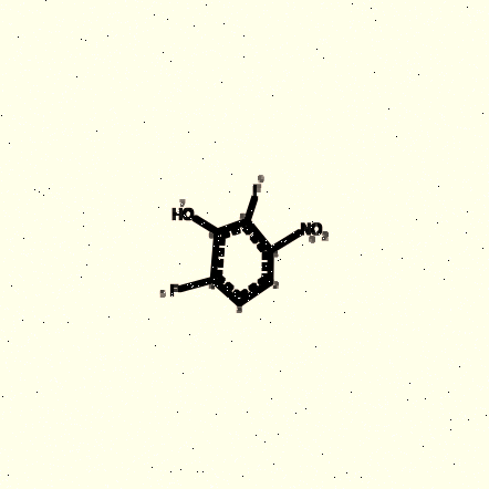 O=[N+]([O-])c1ccc(F)c(O)c1F